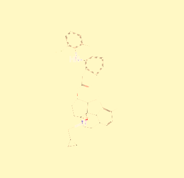 O=C(Cc1ccccc1Nc1c(Cl)cccc1Cl)O[C@@H]1CC[C@@]2(O)C3CC4C=CC(O)=C5OC1C2(CCN3CC1CC1)C54